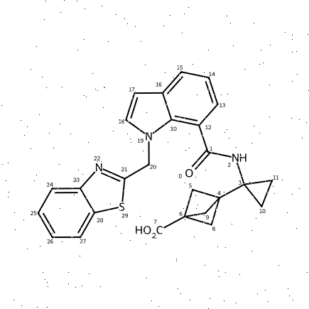 O=C(NC1(C23CC(C(=O)O)(C2)C3)CC1)c1cccc2ccn(Cc3nc4ccccc4s3)c12